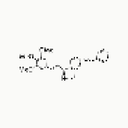 COc1cc(/C=C/C2=NCCc3cc(OCc4ccccc4)ccc32)cc(OC)c1OC